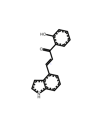 O=C(/C=C/c1cccc2[nH]ccc12)c1ccccc1O